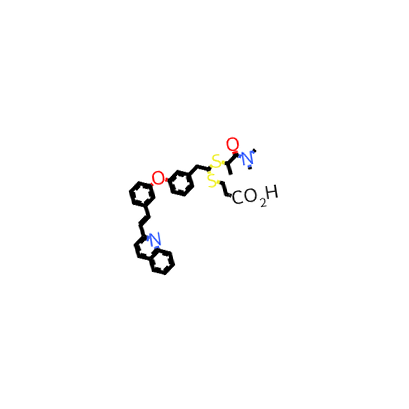 CC(SC(Cc1cccc(Oc2cccc(C=Cc3ccc4ccccc4n3)c2)c1)SCCC(=O)O)C(=O)N(C)C